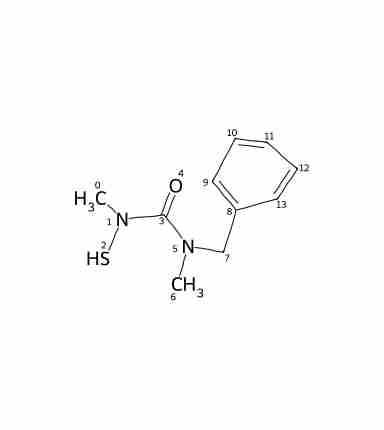 CN(S)C(=O)N(C)Cc1ccccc1